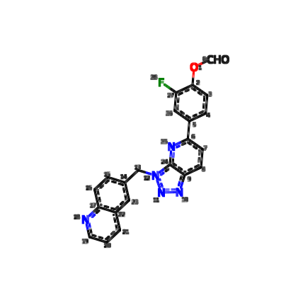 O=COc1ccc(-c2ccc3nnn(Cc4ccc5ncccc5c4)c3n2)cc1F